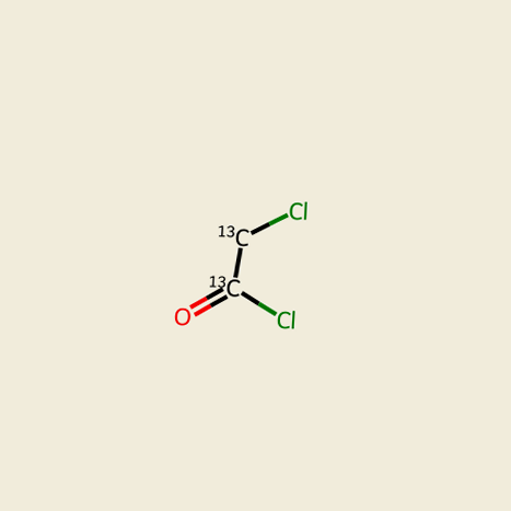 O=[13C](Cl)[13CH2]Cl